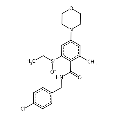 CC[S+]([O-])c1cc(N2CCOCC2)cc(C)c1C(=O)NCc1ccc(Cl)cc1